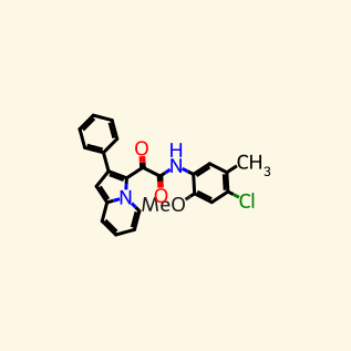 COc1cc(Cl)c(C)cc1NC(=O)C(=O)c1c(-c2ccccc2)cc2ccccn12